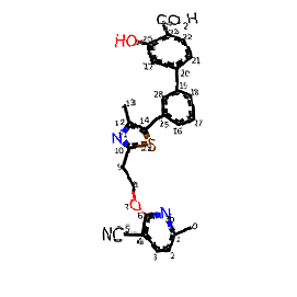 Cc1ccc(C#N)c(OCCc2nc(C)c(-c3cccc(-c4ccc(C(=O)O)c(O)c4)c3)s2)n1